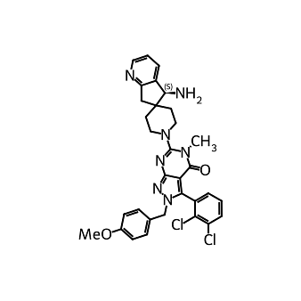 COc1ccc(Cn2nc3nc(N4CCC5(CC4)Cc4ncccc4[C@H]5N)n(C)c(=O)c3c2-c2cccc(Cl)c2Cl)cc1